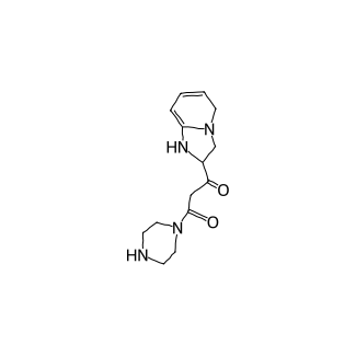 O=C(CC(=O)N1CCNCC1)C1CN2CC=CC=C2N1